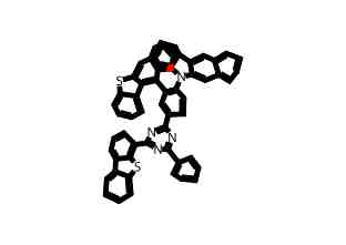 c1ccc(-c2nc(-c3ccc(-n4c5ccccc5c5cc6ccccc6cc54)c(-c4c5ccccc5cc5sc6ccccc6c45)c3)nc(-c3cccc4c3sc3ccccc34)n2)cc1